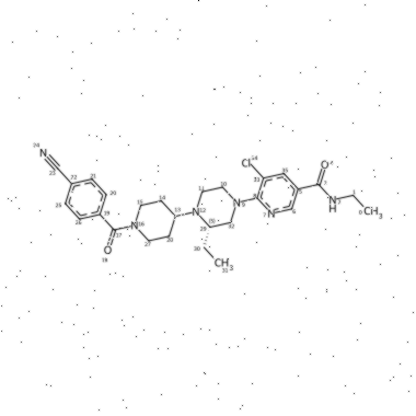 CCNC(=O)c1cnc(N2CCN(C3CCN(C(=O)c4ccc(C#N)cc4)CC3)[C@@H](CC)C2)c(Cl)c1